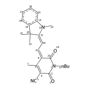 CCCCN1C(=O)C(C#N)=C(C)/C(=C/C=C2/N(C)c3ccccc3C2(C)C)C1=O